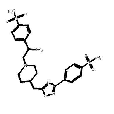 CS(=O)(=O)c1ccc(-c2noc(CC3CCN(CC(N)c4ccc(S(C)(=O)=O)cc4)CC3)n2)cc1